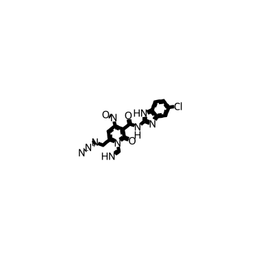 [N-]=[N+]=NCc1cc(N=O)c(C(=O)Nc2nc3cc(Cl)ccc3[nH]2)c(=O)n1C=N